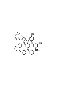 CC(C)(C)c1cc(N2c3ccc(C(C)(C)C)cc3B3c4sc5cc6c(cc5c4N(c4ccc5c(c4)C(C)(C)CCC5(C)C)c4cc(N(c5ccccc5)c5ccccc5)cc2c43)C(C)(C)CCC6(C)C)cc(C(C)(C)C)c1